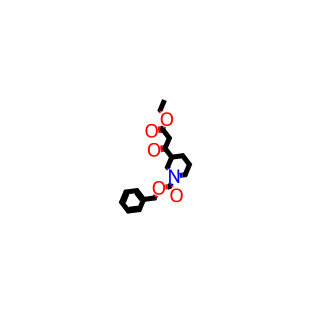 CCOC(=O)CC(=O)C1CCCN(C(=O)OCc2ccccc2)C1